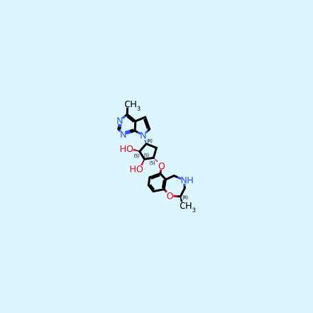 Cc1ncnc2c1ccn2[C@@H]1C[C@H](Oc2cccc3c2CNC[C@@H](C)O3)[C@@H](O)[C@H]1O